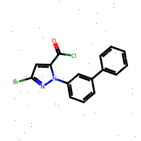 O=C(Cl)c1cc(Br)nn1-c1cccc(-c2ccccc2)c1